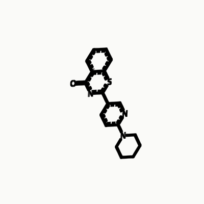 O=c1nc(-c2ccc(N3CCCCC3)nc2)sc2ccccc12